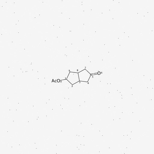 CC(=O)OC1CC2CC(=O)CC2C1